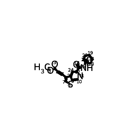 COC(=O)C#Cc1csc2cnc(C(=O)NC3CC4CCC3CC4)cc12